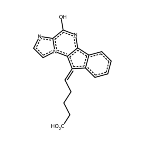 O=C(O)CCCC=c1c2ccccc2c2nc(O)c3nccn3c12